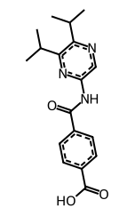 CC(C)c1ncc(NC(=O)c2ccc(C(=O)O)cc2)nc1C(C)C